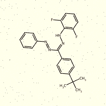 CC(C)(C)c1ccc(C(N=Nc2ccccc2)=NNc2c(F)cccc2F)cc1